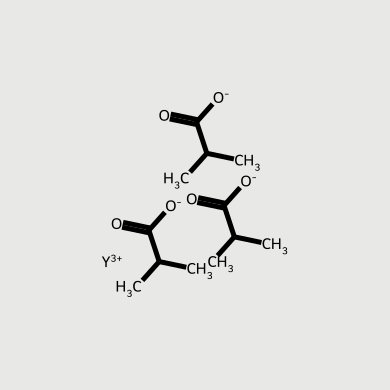 CC(C)C(=O)[O-].CC(C)C(=O)[O-].CC(C)C(=O)[O-].[Y+3]